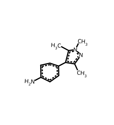 Cc1nn(C)c(C)c1-c1ccc(N)cc1